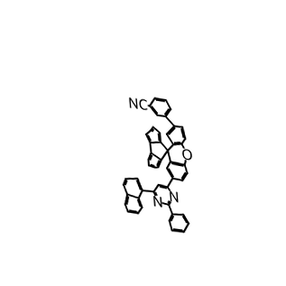 N#Cc1cccc(-c2ccc3c(c2)C2(c4cc(-c5cc(-c6cccc7ccccc67)nc(-c6ccccc6)n5)ccc4O3)c3ccccc3-c3ccccc32)c1